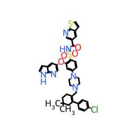 CC1(C)CCC(CN2CCN(c3ccc(S(=O)(=O)NC(=O)c4cnc5sccc5c4)c(Oc4cnc5[nH]ccc5c4)c3)CC2)=C(c2ccc(Cl)cc2)C1